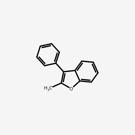 Cc1oc2ccccc2c1-c1ccccc1